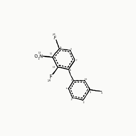 Cc1cccc(-c2ccc(F)c([N+](=O)[O-])c2F)c1